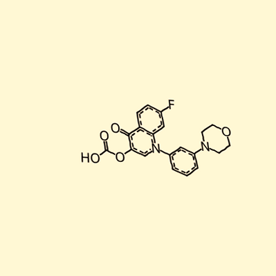 O=C(O)Oc1cn(-c2cccc(N3CCOCC3)c2)c2cc(F)ccc2c1=O